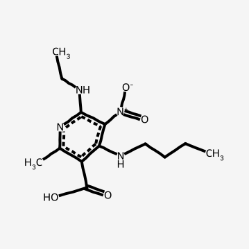 CCCCNc1c(C(=O)O)c(C)nc(NCC)c1[N+](=O)[O-]